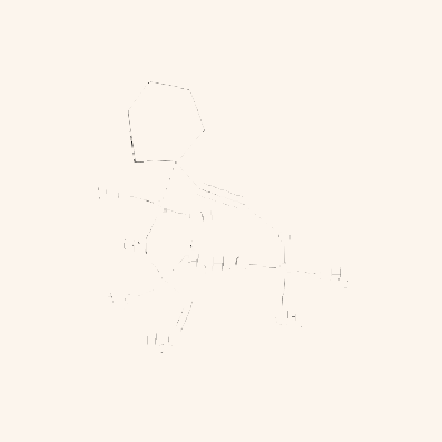 C=C[Si](C)(C)N[Si](C)(C)C1(C#CO[Si](C)(C)C)CCCCC1